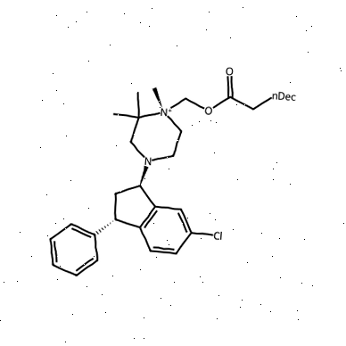 CCCCCCCCCCCC(=O)OC[N@+]1(C)CCN([C@@H]2C[C@@H](c3ccccc3)c3ccc(Cl)cc32)CC1(C)C